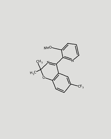 COc1cccnc1C1=NC(C)(C)Oc2ccc(C(F)(F)F)cc21